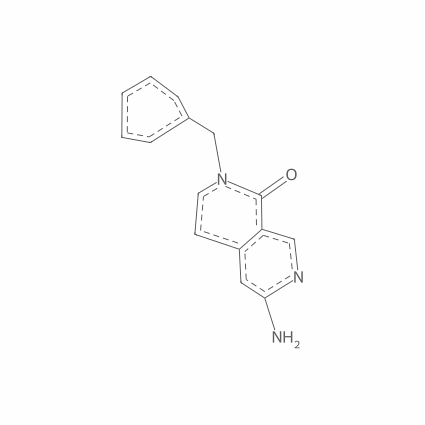 Nc1cc2ccn(Cc3ccccc3)c(=O)c2cn1